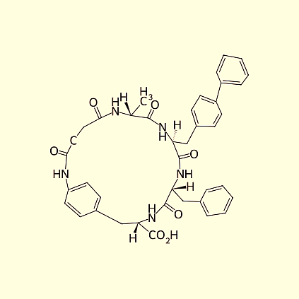 C[C@H]1NC(=O)CCC(=O)Nc2ccc(cc2)C[C@@H](C(=O)O)NC(=O)[C@@H](Cc2ccccc2)NC(=O)[C@H](Cc2ccc(-c3ccccc3)cc2)NC1=O